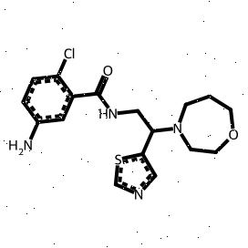 Nc1ccc(Cl)c(C(=O)NCC(c2cncs2)N2CCCOCC2)c1